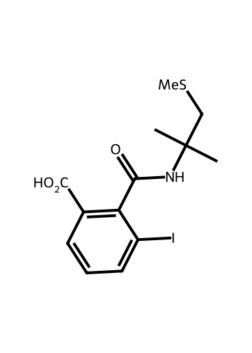 CSCC(C)(C)NC(=O)c1c(I)cccc1C(=O)O